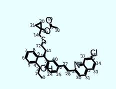 CCC(O)c1ccccc1C(CCSCC1(OC(C)=O)CC1)c1cccc(C=Cc2ccc3ccc(Cl)cc3n2)c1